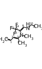 C=C/C=C(\C)N(C)/C(=C\NCC)C(F)(F)F